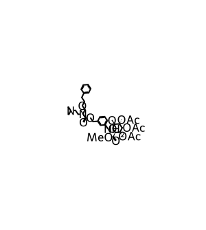 COC(=O)[C@H]1O[C@@H](Oc2ccc(COC(=O)N(CCN(C)C)COCCc3ccccc3)cc2N)[C@H](OC(C)=O)[C@@H](OC(C)=O)[C@@H]1OC(C)=O